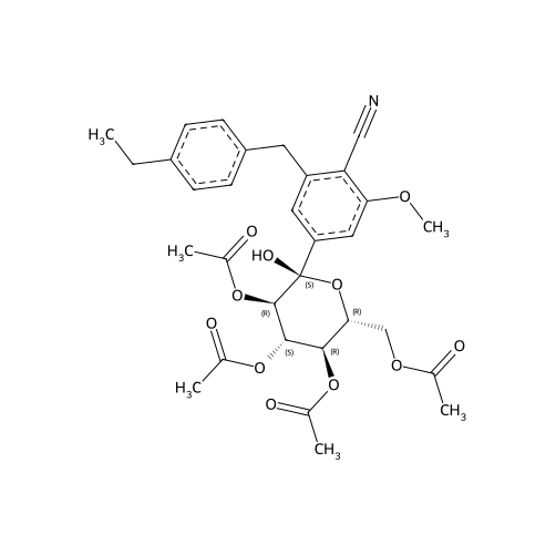 CCc1ccc(Cc2cc([C@]3(O)O[C@H](COC(C)=O)[C@@H](OC(C)=O)[C@H](OC(C)=O)[C@H]3OC(C)=O)cc(OC)c2C#N)cc1